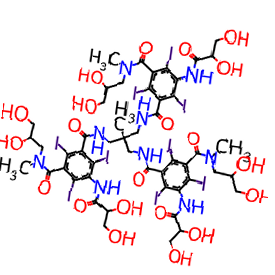 CN(CC(O)CO)C(=O)c1c(I)c(NC(=O)C(O)CO)c(I)c(C(=O)NCC(C)(CNC(=O)c2c(I)c(NC(=O)C(O)CO)c(I)c(C(=O)N(C)CC(O)CO)c2I)CNC(=O)c2c(I)c(NC(=O)C(O)CO)c(I)c(C(=O)N(C)CC(O)CO)c2I)c1I